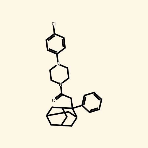 O=C(CC1(c2ccccc2)C2CC3CC(C2)CC1C3)N1CCN(c2ccc(Cl)cc2)CC1